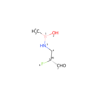 CB(O)NC[C@@H](F)C=O